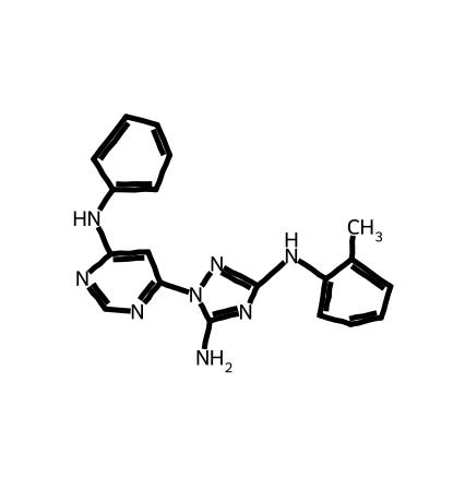 Cc1ccccc1Nc1nc(N)n(-c2cc(Nc3ccccc3)ncn2)n1